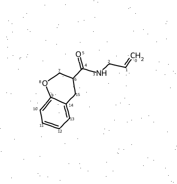 C=CCNC(=O)C1COc2ccccc2C1